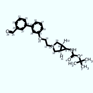 CC(C)(C)OC(=O)NC1[C@H]2CN(CCOc3cccc(-c4cccc(C=O)c4)c3)C[C@@H]12